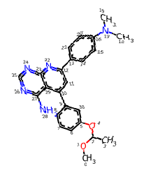 COC(C)Oc1cccc(-c2cc(-c3ccc(N(C)C)cc3)nc3ncnc(N)c23)c1